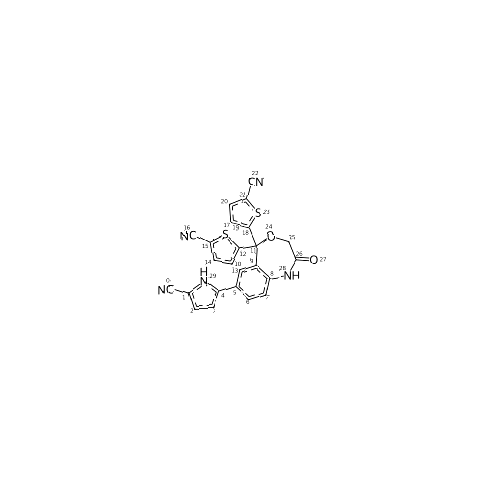 N#Cc1ccc(-c2ccc3c(c2)C(c2ccc(C#N)s2)(c2ccc(C#N)s2)OCC(=O)N3)[nH]1